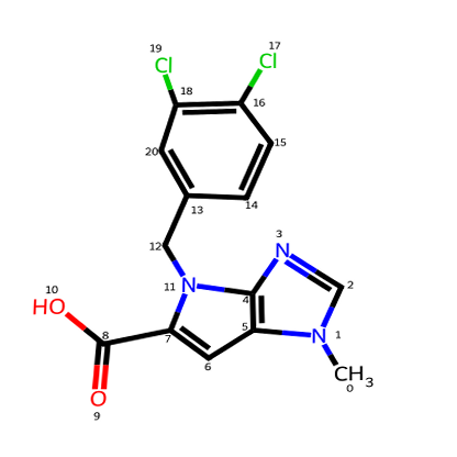 Cn1cnc2c1cc(C(=O)O)n2Cc1ccc(Cl)c(Cl)c1